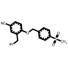 CC(C)Cc1cc(C#N)ccc1OCc1ccc(S(C)(=O)=O)cc1